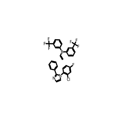 C=CB(c1cccc(C(F)(F)F)c1)c1cccc(C(F)(F)F)c1.Fc1ccc(-n2ccnc2-c2ccccc2)c(Cl)c1